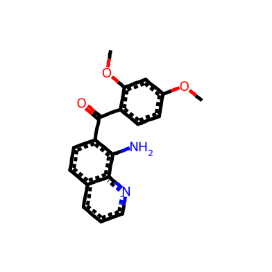 COc1ccc(C(=O)c2ccc3cccnc3c2N)c(OC)c1